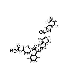 O=C(O)OC1CCN(C(=O)C(Cn2cc3ccc(C(=O)NCc4cccc(Cl)c4)cc3n2)c2ccccc2)CC1